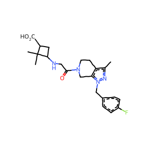 Cc1nn(Cc2ccc(F)cc2)c2c1CCN(C(=O)CNC1CC(C(=O)O)C1(C)C)C2